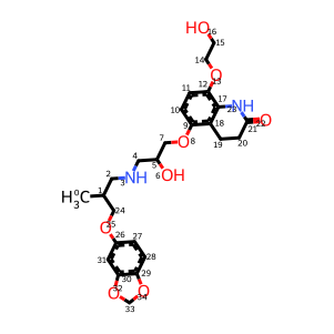 CC(CNCC(O)COc1ccc(OCCO)c2c1CCC(=O)N2)COc1ccc2c(c1)OCO2